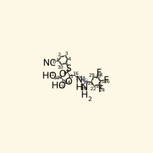 N#Cc1cccc(SC2OC(CO)C(O)OC2CN/C=C(\N)c2cc(F)c(F)c(F)c2)c1